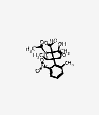 CCC(CC)(c1c(C)cccc1[N+](=O)[O-])C(NC(C)=O)(C(=O)O)C(=O)O